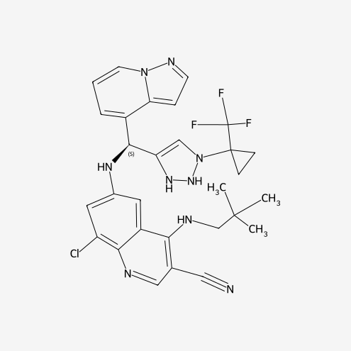 CC(C)(C)CNc1c(C#N)cnc2c(Cl)cc(N[C@H](C3=CN(C4(C(F)(F)F)CC4)NN3)c3cccn4nccc34)cc12